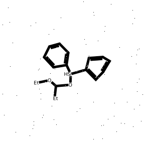 CCOC(CC)O[SiH](c1ccccc1)c1ccccc1